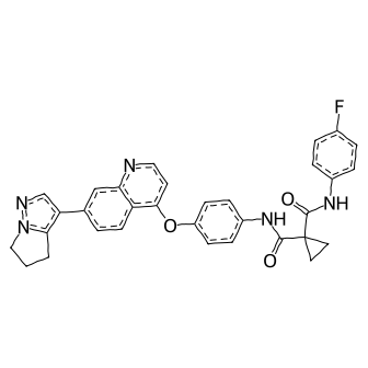 O=C(Nc1ccc(F)cc1)C1(C(=O)Nc2ccc(Oc3ccnc4cc(-c5cnn6c5CCC6)ccc34)cc2)CC1